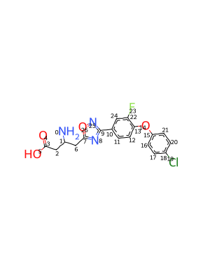 NC(CC(=O)O)Cc1nc(-c2ccc(Oc3ccc(Cl)cc3)c(F)c2)no1